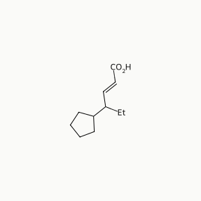 CCC(C=CC(=O)O)C1CCCC1